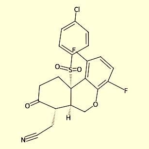 N#CC[C@@H]1C(=O)CC[C@@]2(S(=O)(=O)c3ccc(Cl)cc3)c3c(F)ccc(F)c3OC[C@@H]12